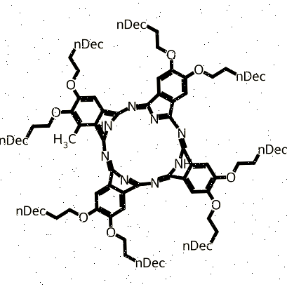 CCCCCCCCCCCCOc1cc2c(cc1OCCCCCCCCCCCC)-c1nc-2nc2[nH]c(nc3nc(nc4[nH]c(n1)c1cc(OCCCCCCCCCCCC)c(OCCCCCCCCCCCC)c(C)c41)-c1cc(OCCCCCCCCCCCC)c(OCCCCCCCCCCCC)cc1-3)c1cc(OCCCCCCCCCCCC)c(OCCCCCCCCCCCC)cc21